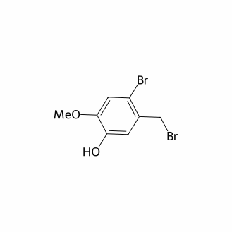 COc1cc(Br)c(CBr)cc1O